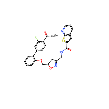 CNC(=O)c1ccc(-c2ccccc2OCC2CC(CNC(=O)c3cc4cccnc4s3)=NO2)cc1F